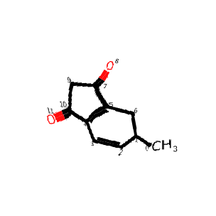 CC1C=CC2=C(C1)C(=O)CC2=O